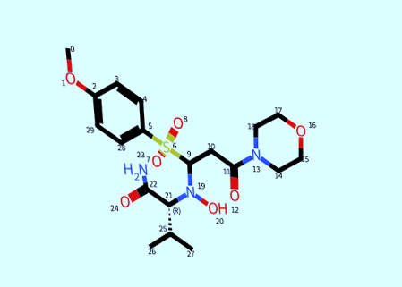 COc1ccc(S(=O)(=O)C(CC(=O)N2CCOCC2)N(O)[C@@H](C(N)=O)C(C)C)cc1